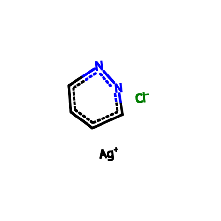 [Ag+].[Cl-].c1ccnnc1